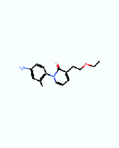 CCOCCc1cccn(-c2ccc(N)cc2C)c1=O